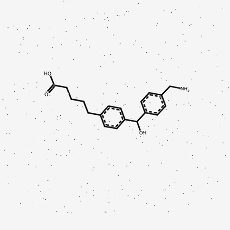 NCc1ccc(C(O)c2ccc(CCCCC(=O)O)cc2)cc1